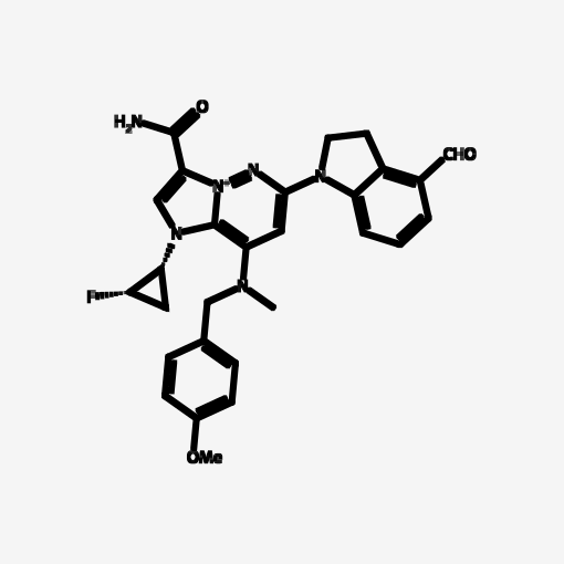 COc1ccc(CN(C)c2cc(N3CCc4c(C=O)cccc43)n[n+]3c(C(N)=O)cn([C@@H]4C[C@@H]4F)c23)cc1